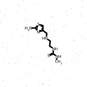 CNC(=S)NCCNCc1csc(N)n1